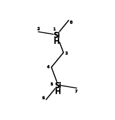 C[SiH](C)CC[SiH](C)C